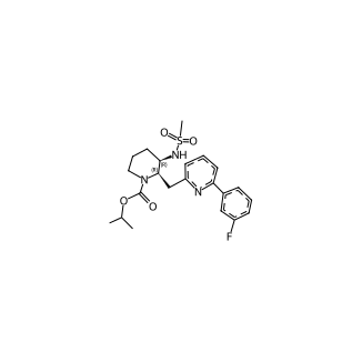 CC(C)OC(=O)N1CCC[C@@H](NS(C)(=O)=O)[C@H]1Cc1cccc(-c2cccc(F)c2)n1